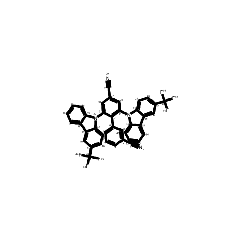 N#Cc1cccc(-c2c(-n3c4ccccc4c4cc(C(F)(F)F)ccc43)cc(C#N)cc2-n2c3ccccc3c3cc(C(F)(F)F)ccc32)c1